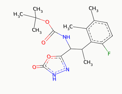 Cc1ccc(F)c(C(C)C(NC(=O)OC(C)(C)C)c2n[nH]c(=O)o2)c1C